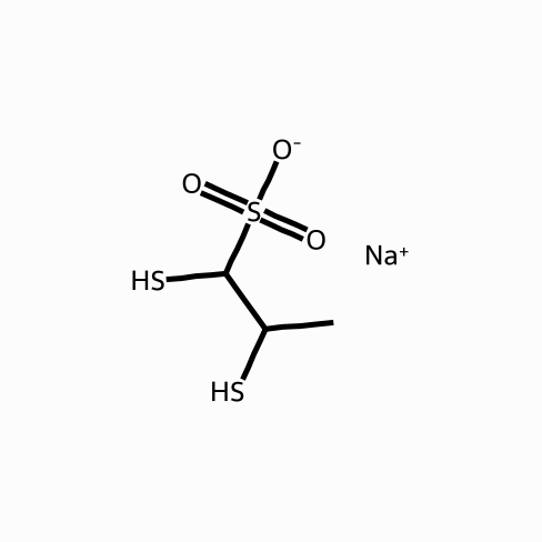 CC(S)C(S)S(=O)(=O)[O-].[Na+]